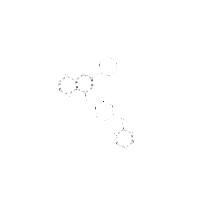 Cc1cncnc1N[C@H]1CC[C@@H](Oc2cc(N3CCOCC3)cc3nccnc23)CC1